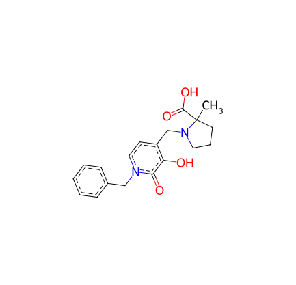 CC1(C(=O)O)CCCN1Cc1ccn(Cc2ccccc2)c(=O)c1O